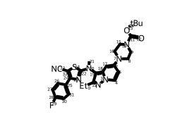 CCc1nn2ccc(N3CCN(C(=O)OC(C)(C)C)CC3)cc2c1N(C)c1nc(-c2ccc(F)cc2)c(C#N)s1